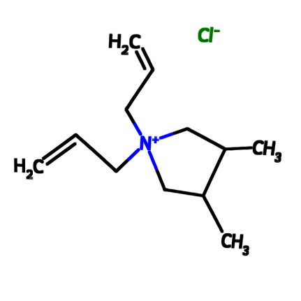 C=CC[N+]1(CC=C)CC(C)C(C)C1.[Cl-]